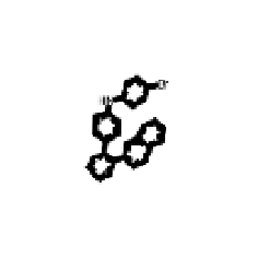 Brc1ccc(Nc2ccc(-c3ccccc3-c3ccc4ccccc4c3)cc2)cc1